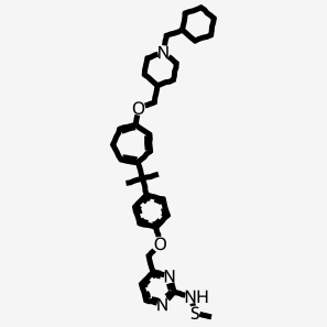 CSNc1nccc(COc2ccc(C(C)(C)C3=CCC=C(OCC4CCN(CC5CCCCC5)CC4)C=C3)cc2)n1